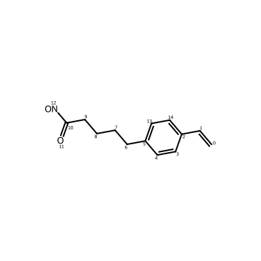 C=Cc1ccc(CCCCC(=O)N=O)cc1